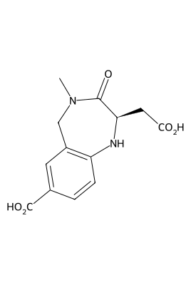 CN1Cc2cc(C(=O)O)ccc2N[C@H](CC(=O)O)C1=O